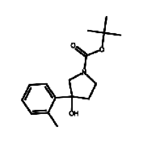 Cc1ccccc1C1(O)CCN(C(=O)OC(C)(C)C)C1